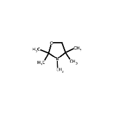 CN1C(C)(C)COC1(C)C